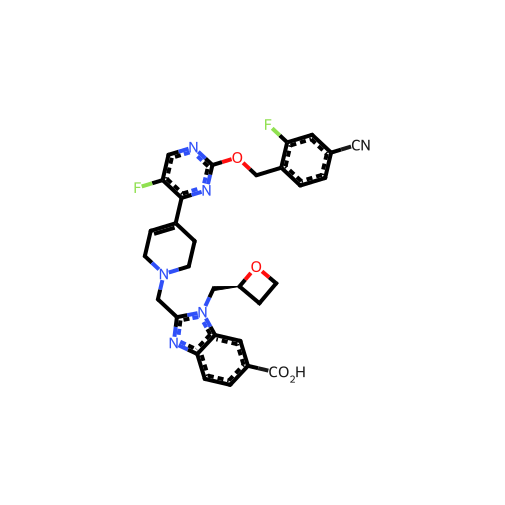 N#Cc1ccc(COc2ncc(F)c(C3=CCN(Cc4nc5ccc(C(=O)O)cc5n4C[C@@H]4CCO4)CC3)n2)c(F)c1